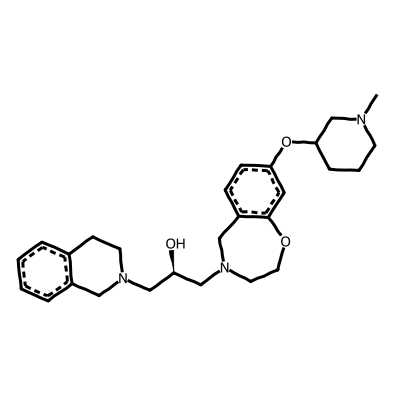 CN1CCCC(Oc2ccc3c(c2)OCCN(C[C@H](O)CN2CCc4ccccc4C2)C3)C1